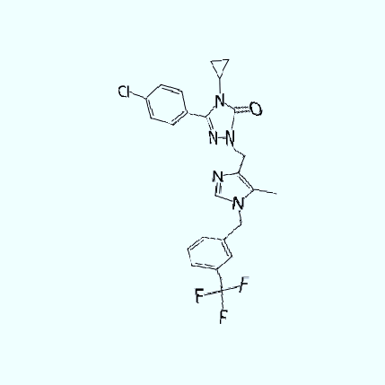 Cc1c(Cn2nc(-c3ccc(Cl)cc3)n(C3CC3)c2=O)ncn1Cc1cccc(C(F)(F)F)c1